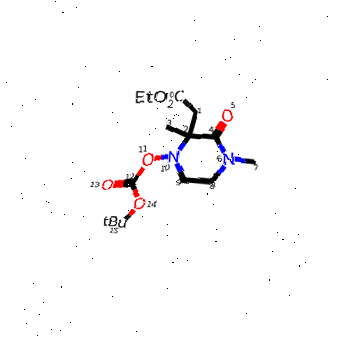 CCOC(=O)CC1(C)C(=O)N(C)CCN1OC(=O)OC(C)(C)C